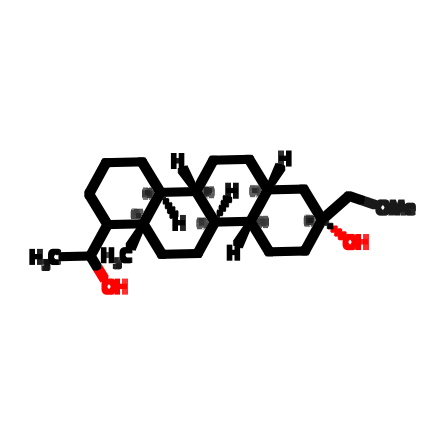 COC[C@@]1(O)CC[C@H]2[C@H](CC[C@@H]3[C@@H]2CC[C@]2(C)C(C(C)O)CCC[C@@H]32)C1